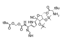 CC(C)(C)C(=O)OCOC(=O)N/C(=N/C=N)c1ccc([C@]2(C#N)O[C@H](COC(=O)[C@@H](N)C(C)(C)C)C(O[Si](C)(C)C)C2O[Si](C)(C)C)[nH]1